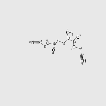 C#CCOC(=O)C(C)CCC(=O)OCC#N